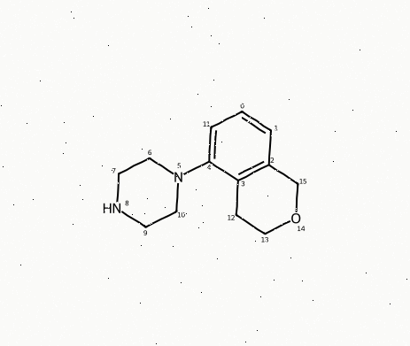 c1cc2c(c(N3CCNCC3)c1)CCOC2